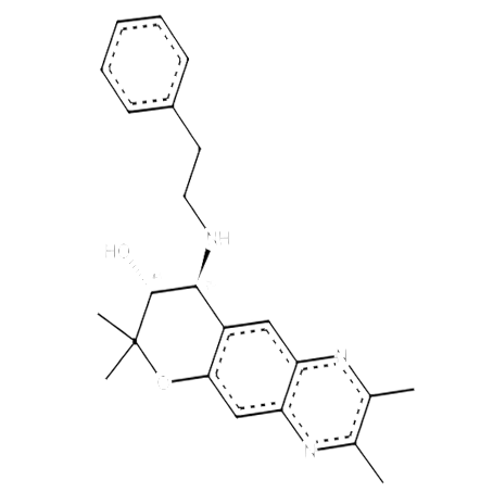 Cc1nc2cc3c(cc2nc1C)[C@H](NCCc1ccccc1)[C@@H](O)C(C)(C)O3